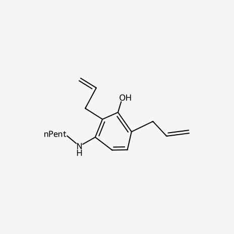 C=CCc1ccc(NCCCCC)c(CC=C)c1O